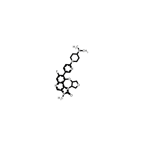 CN(C)C1CCN(c2ccc(-c3c(F)cc4ncc5c6c4c3OC3COCC3n6c(=O)n5C)cn2)CC1